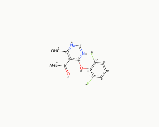 CSC(=O)c1c(C=O)ncnc1Oc1c(F)cccc1F